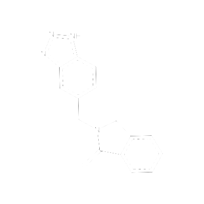 O=C1c2ccccc2CN1Cc1ccc2[nH]nnc2c1